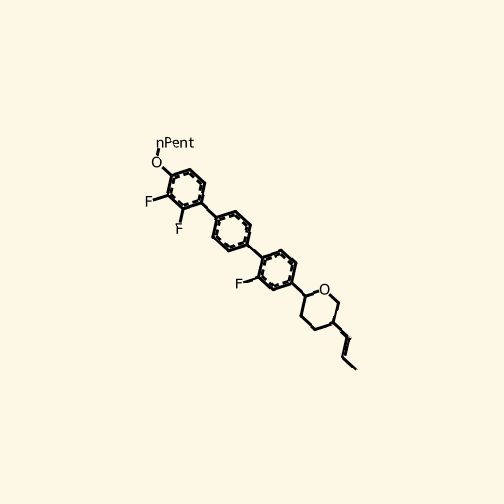 C/C=C/C1CCC(c2ccc(-c3ccc(-c4ccc(OCCCCC)c(F)c4F)cc3)c(F)c2)OC1